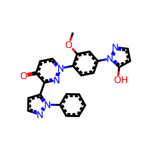 COc1cc(-n2nccc2O)ccc1-n1ccc(=O)c(-c2ccnn2-c2ccccc2)n1